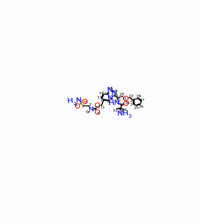 CN(CCS(N)(=O)=O)C(=O)OCc1ccc2nnc([C@@H](COCc3ccccc3)NC(=O)C(C)(C)N)n2c1